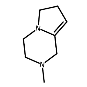 CN1CCN2CCC=C2C1